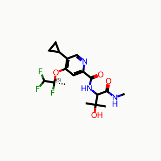 CNC(=O)C(NC(=O)c1cc(O[C@@](C)(F)C(F)F)c(C2CC2)cn1)C(C)(C)O